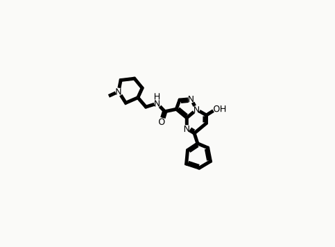 CN1CCCC(CNC(=O)c2cnn3c(O)cc(-c4ccccc4)nc23)C1